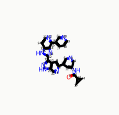 O=C(Nc1cncc(-c2cc3c(-c4nc5c(-c6cccnc6)nccc5[nH]4)n[nH]c3cn2)c1)C1CC1